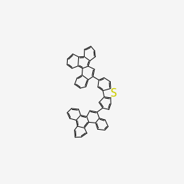 c1ccc2c(c1)c(-c1ccc3sc4ccc(-c5cc6c7ccccc7c7ccccc7c6c6ccccc56)cc4c3c1)cc1c3ccccc3c3ccccc3c21